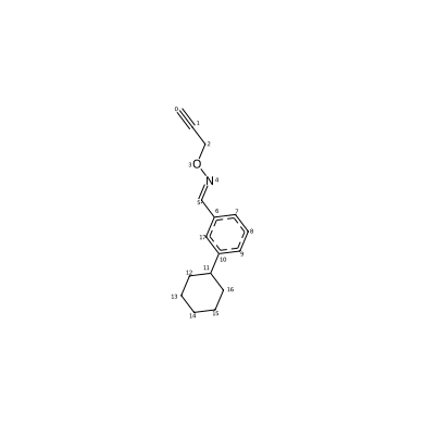 C#CCON=[C]c1cccc(C2CCCCC2)c1